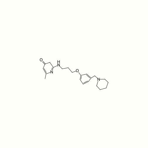 CC1=CC(=O)CC(NCCCOc2cccc(CN3CCCCC3)c2)=N1